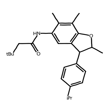 Cc1c(NC(=O)CC(C)(C)C)cc2c(c1C)OC(C)C2c1ccc(C(C)C)cc1